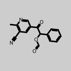 Cc1ncc(C(=O)C(OC=O)c2ccccc2)cc1C#N